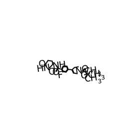 CC(C)(C)OC(=O)N1CC=C(c2ccc(C(=O)NC3CCC(=O)NC3=O)c(F)c2)CC1